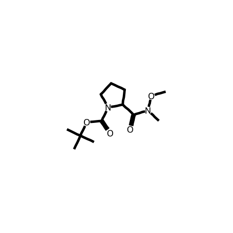 CON(C)C(=O)C1CCCN1C(=O)OC(C)(C)C